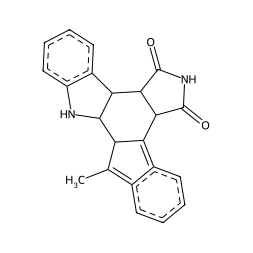 CC1=c2ccccc2=C2C1C1Nc3ccccc3C1C1C(=O)NC(=O)C21